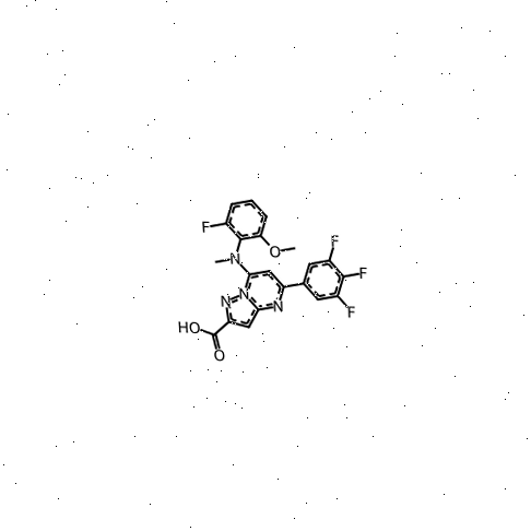 COc1cccc(F)c1N(C)c1cc(-c2cc(F)c(F)c(F)c2)nc2cc(C(=O)O)nn12